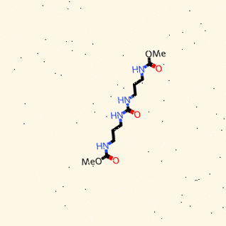 COC(=O)NCCCNC(=O)NCCCNC(=O)OC